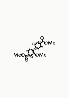 COC(=O)c1ccc(-c2ccc(C(=O)OC)cc2OC)cc1